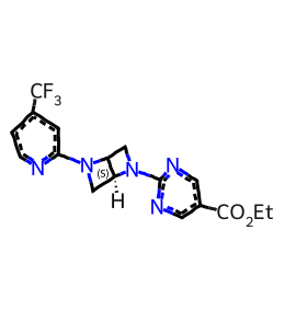 CCOC(=O)c1cnc(N2CC3[C@@H]2CN3c2cc(C(F)(F)F)ccn2)nc1